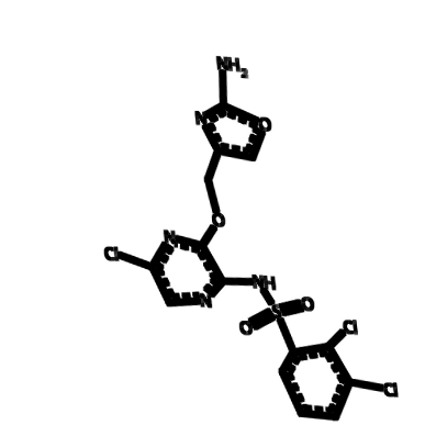 Nc1nc(COc2nc(Cl)cnc2NS(=O)(=O)c2cccc(Cl)c2Cl)co1